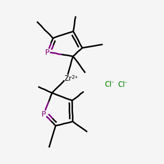 CC1=P[C](C)([Zr+2][C]2(C)P=C(C)C(C)=C2C)C(C)=C1C.[Cl-].[Cl-]